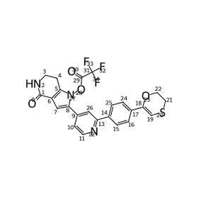 O=C1NCCc2c1cc(-c1ccnc(-c3ccc(C4=CSCCO4)cc3)c1)n2OC(=O)C(F)(F)F